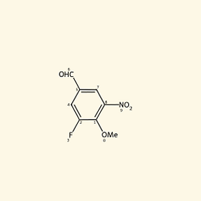 COc1c(F)cc(C=O)cc1[N+](=O)[O-]